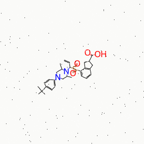 C=CC(N1C(C)CN(c2ccc(C(C)(C)C)cc2)CC1C)S(=O)(=O)c1cccc2c1CC(C(=O)O)C2